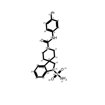 CC(C)c1ccc(NC(=O)N2CCC3(CC2)CN(S(N)(=O)=O)c2ccccc23)cc1